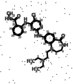 CCN(CC)CCN1CCNC(=O)c2ccc(Nc3ncc(Cl)c(Nc4ccccc4C(=O)NC)n3)cc21